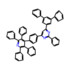 c1ccc(-c2cc(-c3ccccc3)cc(-c3cc(-c4ccc(-c5c(-c6ccccc6)c(-c6ccccc6)nc(-c6ccccc6)c5-c5ccccc5)cc4)nc(-c4ccccc4)n3)c2)cc1